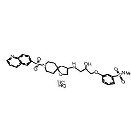 CNS(=O)(=O)c1cccc(OCC(O)CNC2COC3(CCN(S(=O)(=O)c4ccc5ncccc5c4)CC3)C2)c1.Cl.Cl